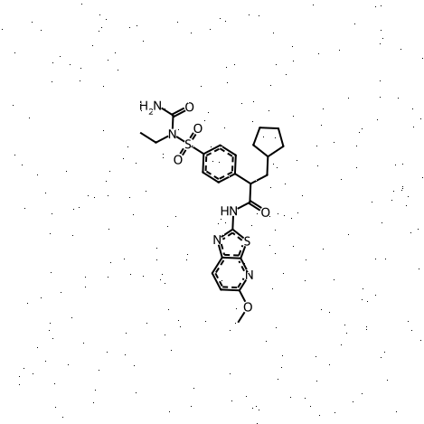 CCN(C(N)=O)S(=O)(=O)c1ccc(C(CC2CCCC2)C(=O)Nc2nc3ccc(OC)nc3s2)cc1